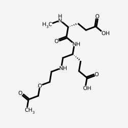 CN[C@H](CCC(=O)O)C(=O)N[C@H](CCC(=O)O)CNCCOCC(C)=O